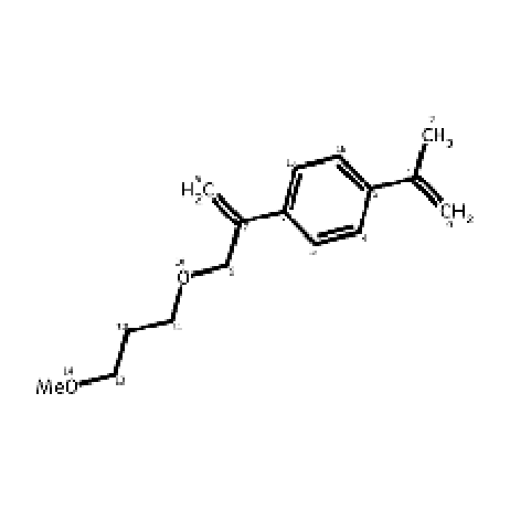 C=C(C)c1ccc(C(=C)COCCCOC)cc1